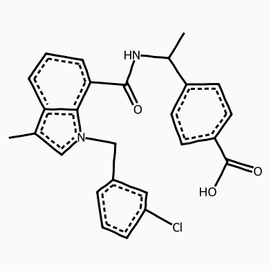 Cc1cn(Cc2cccc(Cl)c2)c2c(C(=O)NC(C)c3ccc(C(=O)O)cc3)cccc12